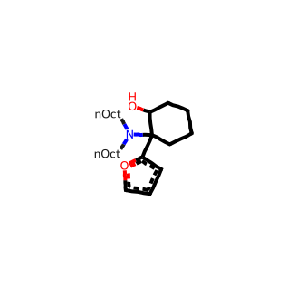 CCCCCCCCN(CCCCCCCC)C1(c2ccco2)CCCCC1O